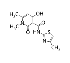 Cc1csc(NC(=O)c2c(O)cc(C)n(C)c2=O)n1